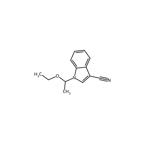 CCOC(C)n1cc(C#N)c2ccccc21